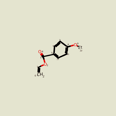 C=COC(=O)c1ccc(OCC)cc1